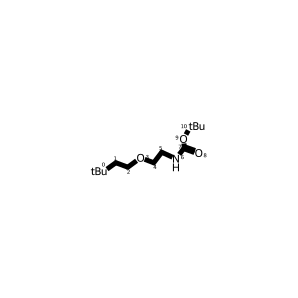 CC(C)(C)CCOCCNC(=O)OC(C)(C)C